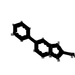 Nc1nc2cc(-c3cccnc3)ccn2n1